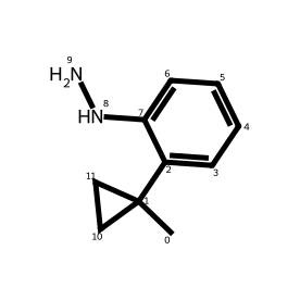 CC1(c2ccccc2NN)CC1